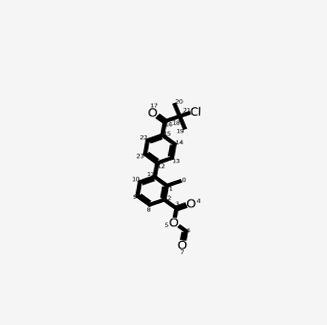 Cc1c(C(=O)OC=O)cccc1-c1ccc(C(=O)C(C)(C)Cl)cc1